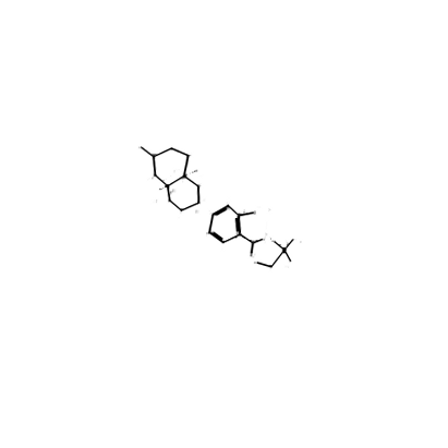 CC1CC[C@@H]2C[C@H](c3ccc(C4NC(C)(C)CO4)c(F)c3)CC[C@@H]2C1